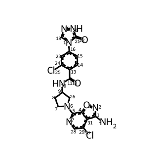 Nc1noc2c(N3CCC(NC(=O)c4ccc(-n5cn[nH]c5=O)cc4Cl)C3)ncc(Cl)c12